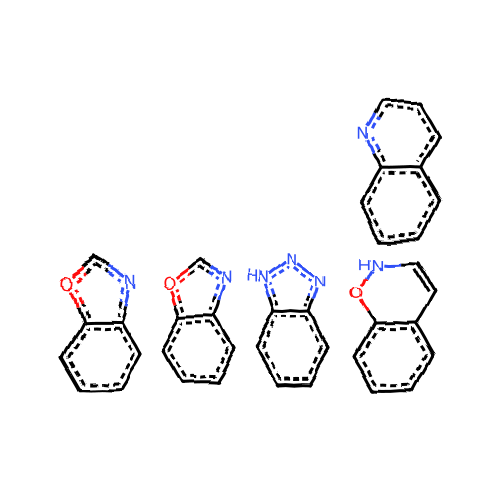 C1=Cc2ccccc2ON1.c1ccc2[nH]nnc2c1.c1ccc2ncccc2c1.c1ccc2ocnc2c1.c1ccc2ocnc2c1